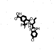 CCCC(NC(=O)c1ccc(C(=O)O)cc1C(F)(F)F)c1nc2cc(Cl)ccc2[nH]1